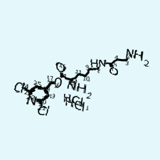 Cl.Cl.NCCC(=O)NCCCC[C@H](N)C(=O)OCc1cc(Cl)nc(Cl)c1